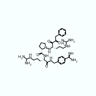 N=C(N)c1ccc(CNC(=O)[C@H](CCCNC(N)N)NC(=O)[C@@H]2CCCN2N[C@@H](CCCNC(N)N)C(=O)C(=O)Cc2ccccc2)cc1